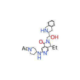 CCC1CN(CC(O)C2Cc3ccccc3CN2)C(=O)c2cc(NC3CCN(C(C)=O)CC3)ncc21